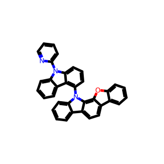 c1ccc(-n2c3ccccc3c3c(-n4c5ccccc5c5ccc6c7ccccc7oc6c54)cccc32)nc1